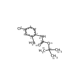 Bc1nc(Cl)ccc1NC(=O)OC(C)(C)C